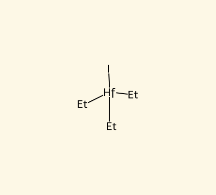 C[CH2][Hf]([I])([CH2]C)[CH2]C